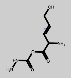 NNC(=O)OC(=O)C(N)/C=C/CO